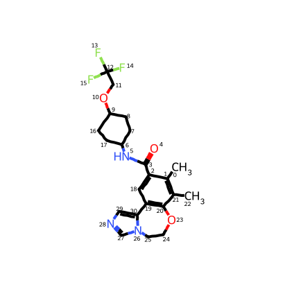 Cc1c(C(=O)NC2CCC(OCC(F)(F)F)CC2)cc2c(c1C)OCCn1cncc1-2